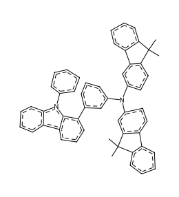 CC1(C)c2ccccc2-c2cc(N(c3cccc(-c4cccc5c6ccccc6n(-c6ccccc6)c45)c3)c3ccc4c(c3)C(C)(C)c3ccccc3-4)ccc21